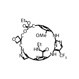 CCNC(=O)c1nc2ccc1Nc1nc(ncc1C(F)(F)F)Nc1ccc(cc1OC)CP(=O)(OCC)OCC1(COC1)Cn1cc-2cn1